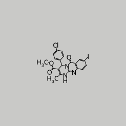 COC(=O)C1=C(C)Nc2nc3ccc(I)cc3c(=O)n2C1c1ccc(Cl)cc1